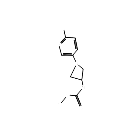 CC(C)(C)OC(=O)NC1CN(c2ccc(Cl)nc2)C1